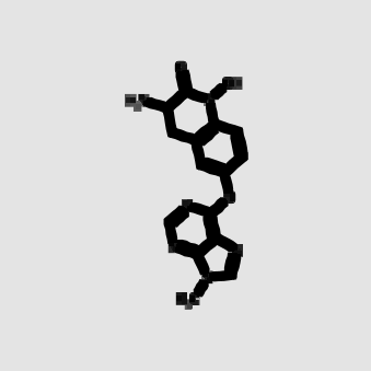 Cn1cnc2c(Oc3ccc4c(c3)CC(N)C(=O)N4O)ncnc21